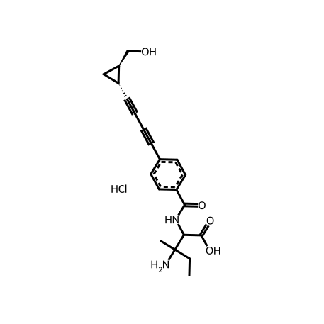 CCC(C)(N)C(NC(=O)c1ccc(C#CC#C[C@@H]2C[C@H]2CO)cc1)C(=O)O.Cl